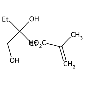 C=C(C)C(=O)O.CCC(O)(CC)CO